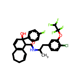 CC(Cc1ccc(Cl)c(OC(F)(F)C(F)F)c1)NC(=O)C1C2=C(C=CC1(O)c1ccc(F)cc1)CCCC=C2